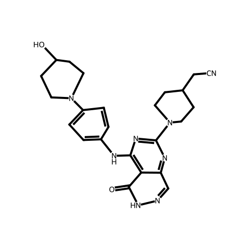 N#CCC1CCN(c2nc(Nc3ccc(N4CCC(O)CC4)cc3)c3c(=O)[nH]ncc3n2)CC1